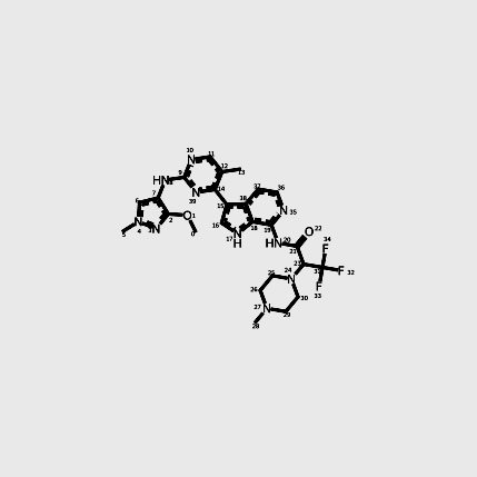 COc1nn(C)cc1Nc1ncc(C)c(-c2c[nH]c3c(NC(=O)C(N4CCN(C)CC4)C(F)(F)F)nccc23)n1